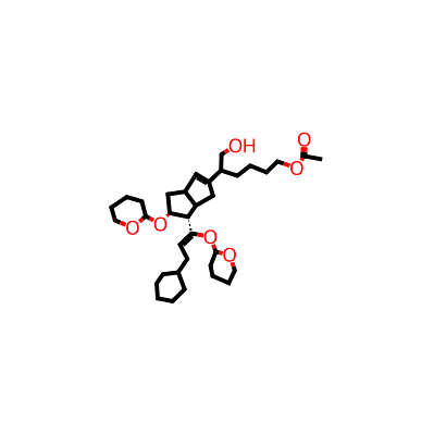 CC(=O)OCCCCC(CO)C1=CC2C[C@H](OC3CCCCO3)[C@@H](C(=CCC3CCCCC3)OC3CCCCO3)C2C1